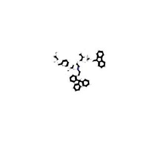 COC(=O)CN(C)Cc1cccc(N(C)C(=O)C[C@@H](/C=C/CCSC(c2ccccc2)(c2ccccc2)c2ccccc2)OC(=O)[C@H](NC(=O)OCC2c3ccccc3-c3ccccc32)C(C)C)n1